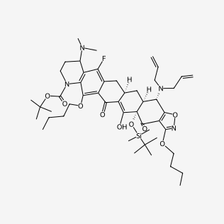 C=CCN(CC=C)[C@@H]1c2onc(OCCCC)c2C(=O)[C@@]2(O[Si](C)(C)C(C)(C)C)C(O)=C3C(=O)c4c(c(F)c5c(c4OCCCC)N(C(=O)OC(C)(C)C)CCC5N(C)C)C[C@H]3C[C@@H]12